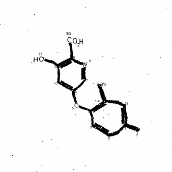 Cc1ccc(Oc2cnc(C(=O)O)c(O)c2)c(C)c1